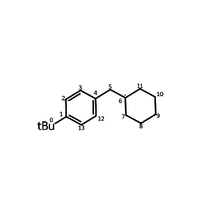 CC(C)(C)c1ccc(C[C]2CCCCC2)cc1